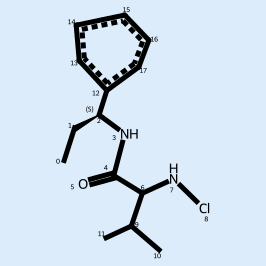 CC[C@H](NC(=O)C(NCl)C(C)C)c1ccccc1